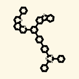 c1ccc(-c2ccc3ccc4ccc(-c5cc(-c6ccc(-c7ccc(-c8nc(-c9ccccc9)nc(-c9ccccc9)n8)cc7)cc6)cc(-c6ccc7sc8ccccc8c7c6)c5)nc4c3n2)cc1